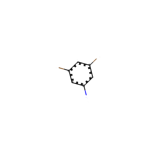 Nc1cc(Br)[c]c(Br)c1